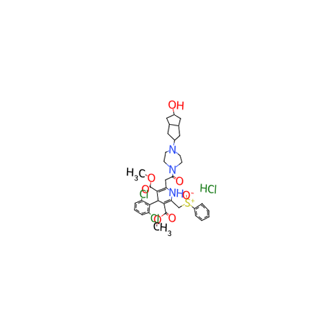 COC(=O)C1=C(CC(=O)N2CCN(C3CC4CC(O)CC4C3)CC2)NC(C[S+]([O-])c2ccccc2)=C(C(=O)OC)C1c1c(Cl)cccc1Cl.Cl